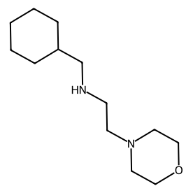 C1CCC(CNCCN2CCOCC2)CC1